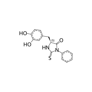 O=C1[C@H](Cc2ccc(O)c(O)c2)NC(=S)N1c1ccccc1